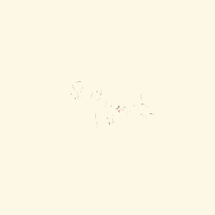 Cn1c(Cc2ccc(CO)c(N)c2)ccc1[C@@H]1O[C@@H]2C[C@H]3[C@@H]4CCC5=CC(=O)C=C[C@]5(C)[C@H]4[C@@H](O)C[C@]3(C)[C@]2(C(=O)COP(=O)(O)O)O1